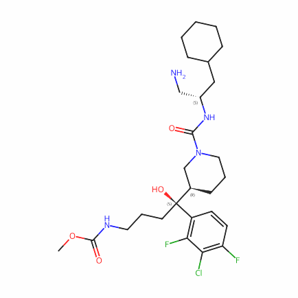 COC(=O)NCCC[C@@](O)(c1ccc(F)c(Cl)c1F)[C@@H]1CCCN(C(=O)N[C@H](CN)CC2CCCCC2)C1